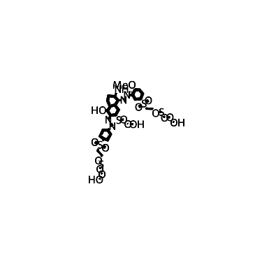 COc1ccc(S(=O)(=O)CCOSOOO)cc1/N=N/c1c(N)ccc2c(O)c(/N=N/c3ccc(S(=O)(=O)CCOSOOO)cc3)c(SOOO)cc12